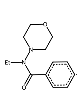 CCN(C(=O)c1cc[c]cc1)N1CCOCC1